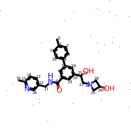 Cc1ccc(-c2cc(C(=O)NCc3ccc(C)nc3)cc(C(O)CN3CC(O)C3)c2)cc1